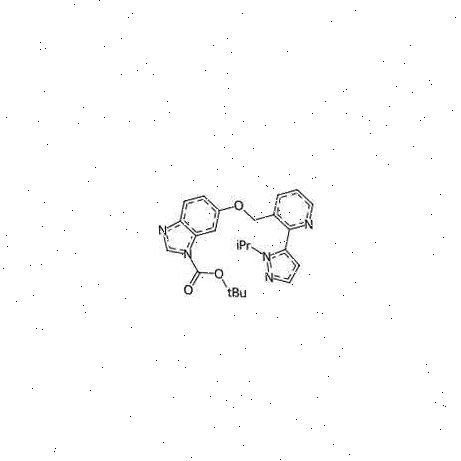 CC(C)n1nccc1-c1ncccc1COc1ccc2ncn(C(=O)OC(C)(C)C)c2c1